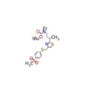 CCN(CCC(C)c1nc(CSc2ccc(S(C)(=O)=O)cc2)cs1)C(=O)OC(C)(C)C